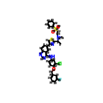 CC(c1nc(-c2ccc3ncnc(Nc4ccc(OCc5cccc(F)c5)c(Cl)c4)c3c2)cs1)N(C)CCS(=O)(=O)c1ccccc1